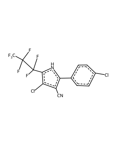 N#Cc1c(-c2ccc(Cl)cc2)[nH]c(C(F)(F)C(F)(F)C(F)(F)F)c1Cl